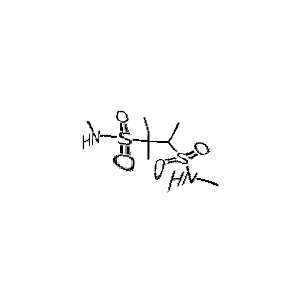 CNS(=O)(=O)C(C)C(C)(C)S(=O)(=O)NC